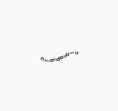 O=C(Oc1ccc2c(c1)Cc1cc(OC(=O)C3CCC(OCCCOC4CCCCO4)CC3)ccc1-2)C1CCC(OCCCOC2CCCCO2)CC1